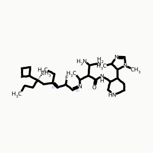 CCC[C@](C)(C/C(=C/C(F)/C=N\C(C)C(C(=O)NC1CNCCC1C1C(C)N=CN1C)C(N)N)CC)C1CCC1